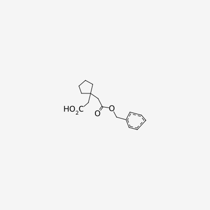 O=C(O)CC1(CC(=O)OCc2ccccc2)CCCC1